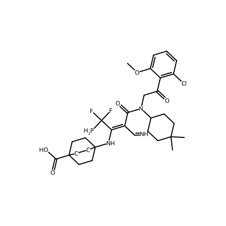 COc1cccc(Cl)c1C(=O)CN(C(=O)/C(C=N)=C(/NC12CCC(C(=O)O)(CC1)CC2)C(F)(F)P)C1CCC(C)(C)CC1